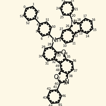 c1ccc(-c2ccc(N(c3ccc4c5ccccc5n(-c5ccccc5)c4c3)c3cccc4c3oc3ccc5nc(-c6ccccc6)oc5c34)cc2)cc1